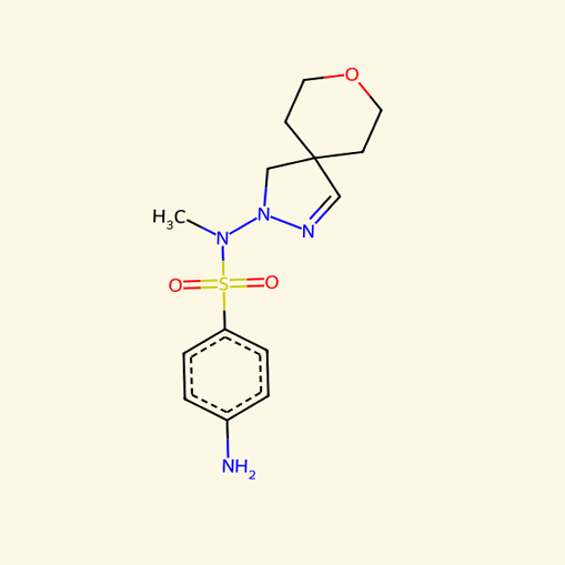 CN(N1CC2(C=N1)CCOCC2)S(=O)(=O)c1ccc(N)cc1